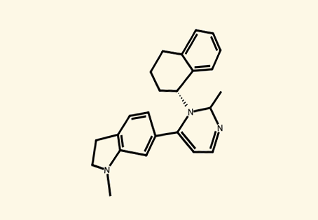 CC1N=CC=C(c2ccc3c(c2)N(C)CC3)N1[C@@H]1CCCc2ccccc21